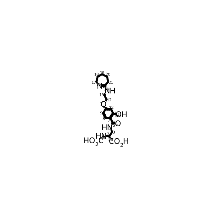 O=C(O)NC(CNC(=O)c1ccc(OCCNC2=NCCCCC2)cc1O)C(=O)O